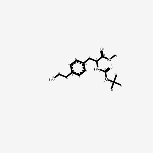 COC(=O)C(Cc1ccc(CCO)cc1)NC(=O)OC(C)(C)C